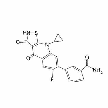 NC(=O)c1cccc(-c2cc3c(cc2F)c(=O)c2c(=O)[nH]sc2n3C2CC2)c1